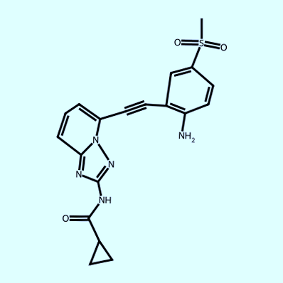 CS(=O)(=O)c1ccc(N)c(C#Cc2cccc3nc(NC(=O)C4CC4)nn23)c1